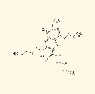 CCCCCC(=O)c1cc(C(=O)CCC)c(C(=O)CCCC)cc1C(=O)CCCCC